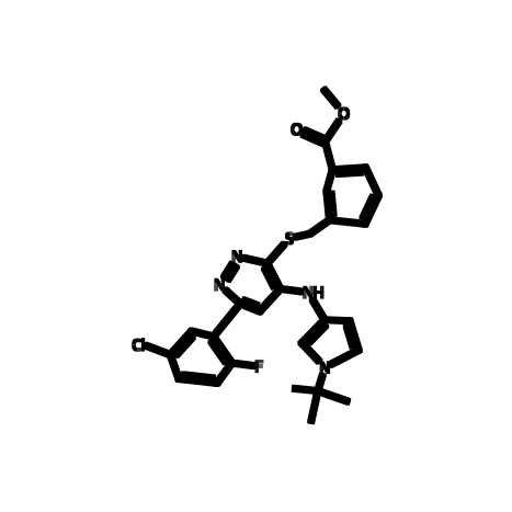 COC(=O)c1cccc(CSc2nnc(-c3cc(Cl)ccc3F)cc2Nc2ccn(C(C)(C)C)c2)c1